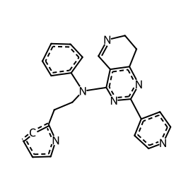 C1=NCCc2nc(-c3ccncc3)nc(N(CCc3ccccn3)c3ccccc3)c21